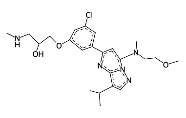 CNCC(O)COc1cc(Cl)cc(-c2cc(N(C)CCOC)n3ncc(C(C)C)c3n2)c1